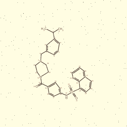 CC(C)c1cccc(CN2CCN(C(=O)c3ccc(NS(=O)(=O)c4cccc5cccnc45)cc3)CC2)c1